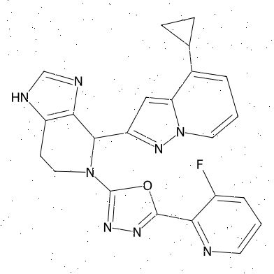 Fc1cccnc1-c1nnc(N2CCc3[nH]cnc3C2c2cc3c(C4CC4)cccn3n2)o1